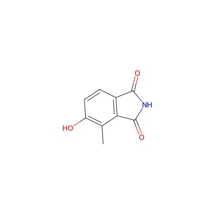 Cc1c(O)ccc2c1C(=O)NC2=O